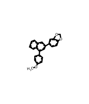 COc1ccc(-c2[c]c(-c3ccc4c(c3)OCO4)cc3ccccc23)cc1